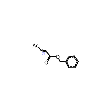 CC(=O)/C=C/C(=O)OCc1ccccc1